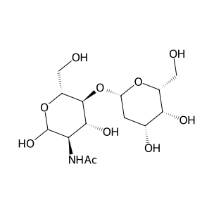 CC(=O)N[C@H]1C(O)O[C@H](CO)[C@@H](O[C@H]2C[C@@H](O)[C@@H](O)[C@@H](CO)O2)[C@@H]1O